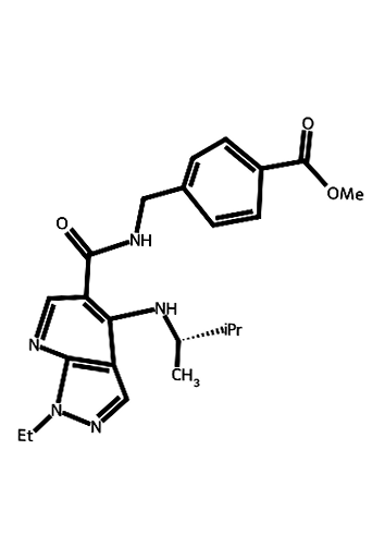 CCn1ncc2c(N[C@@H](C)C(C)C)c(C(=O)NCc3ccc(C(=O)OC)cc3)cnc21